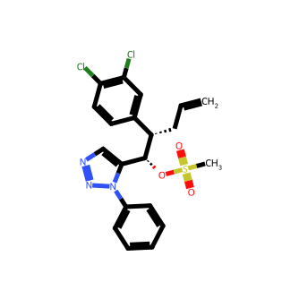 C=CC[C@@H](c1ccc(Cl)c(Cl)c1)[C@H](OS(C)(=O)=O)c1cnnn1-c1ccccc1